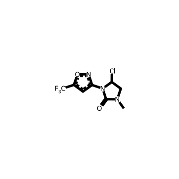 CN1CC(Cl)N(c2cc(C(F)(F)F)on2)C1=O